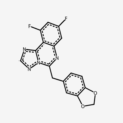 Fc1cc(F)c2c(c1)nc(Cc1ccc3c(c1)OCO3)n1n[c]nc21